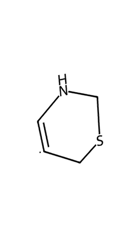 [C]1=CNCSC1